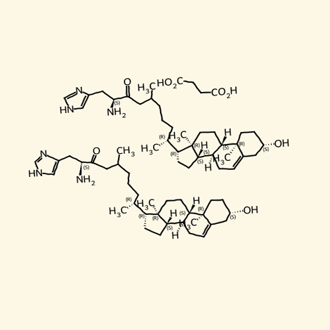 CC(CCC[C@@H](C)[C@H]1CC[C@H]2[C@@H]3CC=C4C[C@@H](O)CC[C@]4(C)[C@H]3CC[C@]12C)CC(=O)[C@@H](N)Cc1c[nH]cn1.CC(CCC[C@@H](C)[C@H]1CC[C@H]2[C@@H]3CC=C4C[C@@H](O)CC[C@]4(C)[C@H]3CC[C@]12C)CC(=O)[C@@H](N)Cc1c[nH]cn1.O=C(O)CCC(=O)O